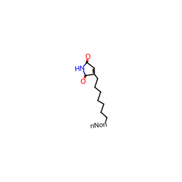 CCCCCCCCCCCCCCCCC1=CC(=O)NC1=O